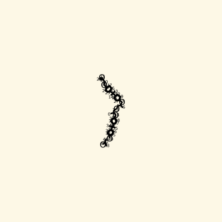 CC(COCC(C)Oc1ccc(C(C)(C)c2ccc(OCC3CO3)cc2)cc1)Oc1ccc(C(C)(C)c2ccc(OCC3CO3)cc2)cc1